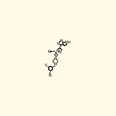 N#CCC1(n2cc(-c3ncnc4[nH]ccc34)cn2)CC(N2CCN(Cc3cc(F)cc(C#N)c3)CC2)C1